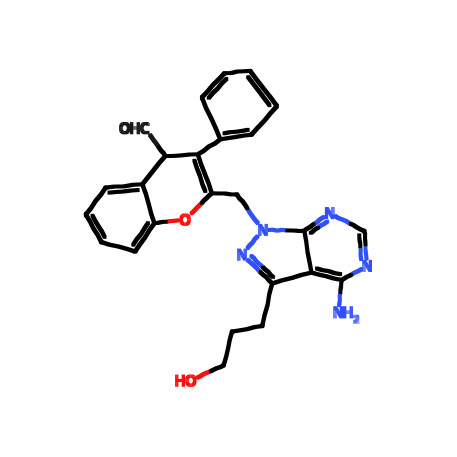 Nc1ncnc2c1c(CCCO)nn2CC1=C(c2ccccc2)C(C=O)c2ccccc2O1